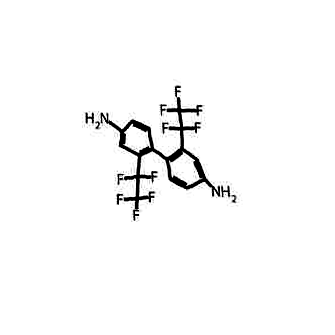 Nc1ccc(-c2ccc(N)cc2C(F)(F)C(F)(F)F)c(C(F)(F)C(F)(F)F)c1